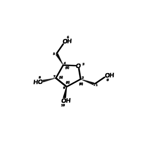 O[CH][C@H]1O[C@@H](CO)[C@@H](O)[C@@H]1O